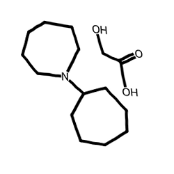 C1CCCC(N2CCCCCC2)CC1.O=C(O)CO